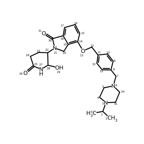 CC(C)N1CCN(Cc2ccc(COc3cccc4c3CN(C3CCC(=O)NC3O)C4=O)cc2)CC1